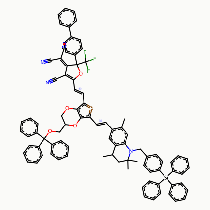 Cc1cc2c(cc1/C=C/c1sc(/C=C/C3=C(C#N)C(=C(C#N)C#N)C(c4ccc(-c5ccccc5)cc4)(C(F)(F)F)O3)c3c1OC(COC(c1ccccc1)(c1ccccc1)c1ccccc1)CO3)C(C)CC(C)(C)N2Cc1ccc([Si](c2ccccc2)(c2ccccc2)c2ccccc2)cc1